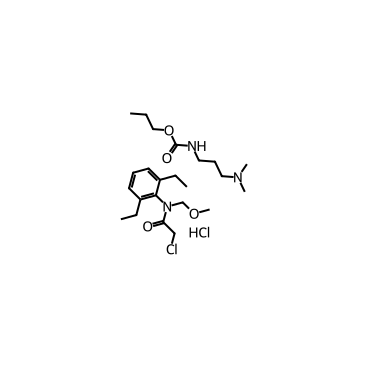 CCCOC(=O)NCCCN(C)C.CCc1cccc(CC)c1N(COC)C(=O)CCl.Cl